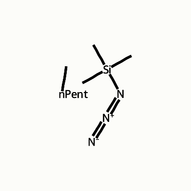 CCCCCC.C[Si](C)(C)N=[N+]=[N-]